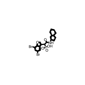 O=C(Nc1ccc2ccccc2c1)C(c1coc2c(Br)cc(Br)cc12)P(=O)(O)O